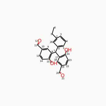 CCc1cccc(C(c2cc(C=O)ccc2O)c2cc(C=O)ccc2O)c1